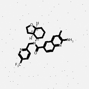 Cc1cc2cc(C(=O)N(Cc3ccc(C(F)(F)F)cn3)[C@H]3CCC[C@@H]4OCC[C@@H]43)ccc2nc1N